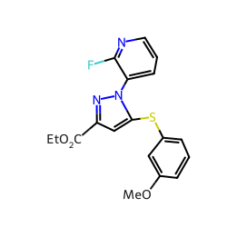 CCOC(=O)c1cc(Sc2cccc(OC)c2)n(-c2cccnc2F)n1